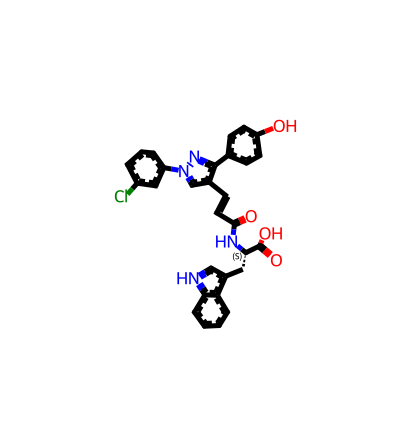 O=C(C=Cc1cn(-c2cccc(Cl)c2)nc1-c1ccc(O)cc1)N[C@@H](Cc1c[nH]c2ccccc12)C(=O)O